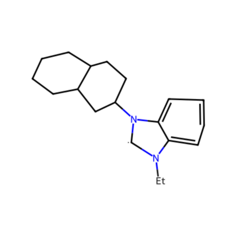 CCN1[CH]N(C2CCC3CCCCC3C2)c2ccccc21